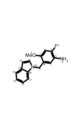 COc1cc(F)c(N)cc1Cn1ccc2ccccc21